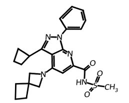 CS(=O)(=O)NC(=O)c1cc(N2CC3(CCC3)C2)c2c(C3CCC3)nn(-c3ccccc3)c2n1